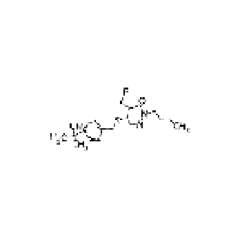 CCCCN1N=CC(SCc2ccc(C(C)(C)C)cc2)C(CF)C1=O